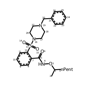 CCCCCC(C)ONC(=O)c1ccccc1S(=O)(=O)N1CCN(Cc2ccccc2)CC1